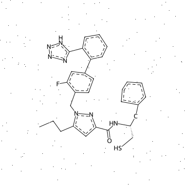 CCCc1cc(C(=O)N[C@@H](CS)Cc2ccccc2)nn1Cc1ccc(-c2ccccc2-c2nnn[nH]2)cc1F